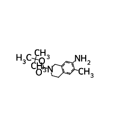 Cc1cc2c(cc1N)CN(C(=O)OC(C)(C)C)CC2